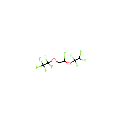 FC(COC(F)(F)C(F)(F)F)OC(F)(F)C(F)F